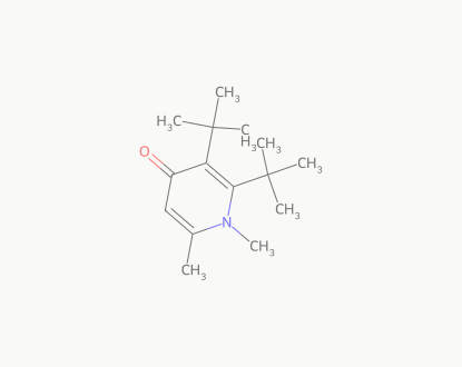 Cc1cc(=O)c(C(C)(C)C)c(C(C)(C)C)n1C